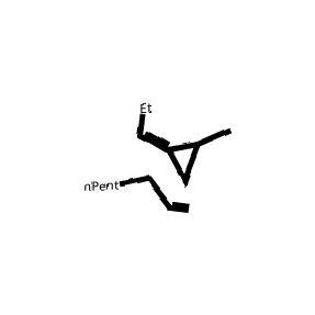 C=CCCCCCC.CCC=C1CC1C